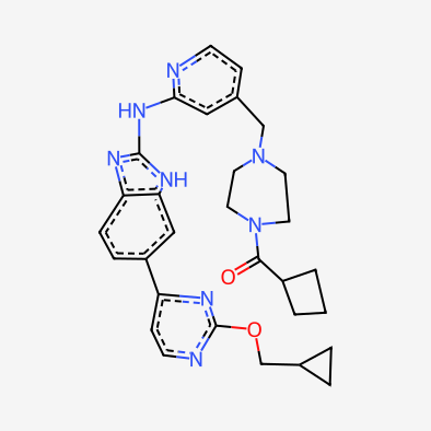 O=C(C1CCC1)N1CCN(Cc2ccnc(Nc3nc4ccc(-c5ccnc(OCC6CC6)n5)cc4[nH]3)c2)CC1